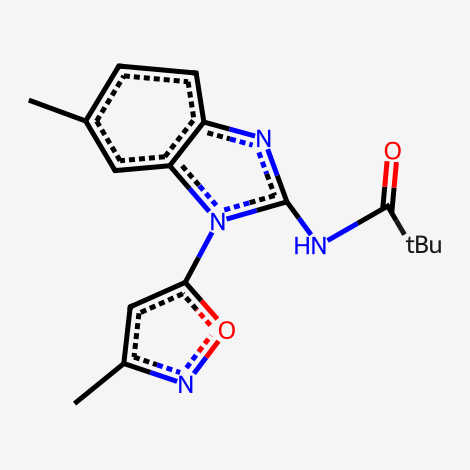 Cc1ccc2nc(NC(=O)C(C)(C)C)n(-c3cc(C)no3)c2c1